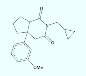 COc1cccc(C23CCCC2C(=O)N(CC2CC2)C(=O)C3)c1